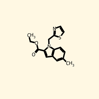 CCOC(=O)c1cc2cc(C)ccc2n1Cc1nccs1